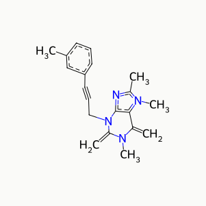 C=C1c2c(nc(C)n2C)N(CC#Cc2cccc(C)c2)C(=C)N1C